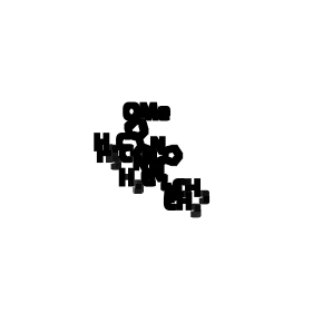 COc1ccc(-c2c(C)nn3c(N(C)CCN(C)C)c4c(nc23)CCC4)c(C)c1